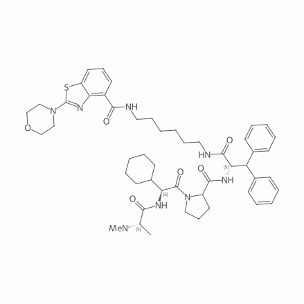 CN[C@@H](C)C(=O)N[C@H](C(=O)N1CCCC1C(=O)N[C@H](C(=O)NCCCCCCNC(=O)c1cccc2sc(N3CCOCC3)nc12)C(c1ccccc1)c1ccccc1)C1CCCCC1